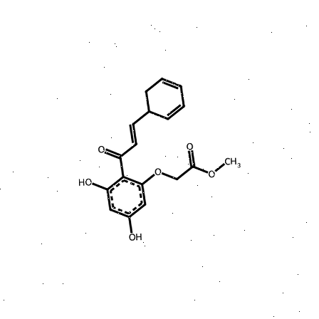 COC(=O)COc1cc(O)cc(O)c1C(=O)C=CC1C=CC=CC1